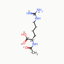 CC(=O)N[C@H](CCCCNC(=N)N)C(=O)O